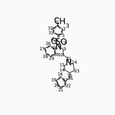 Cc1ccc(S(=O)(=O)N(CCCN2CCC(Cc3ccccc3)CC2)c2ccccc2)cc1